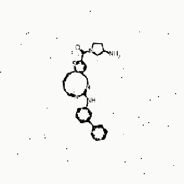 NC1CCN(C(=O)c2cc3c(s2)/C=C\C/C=N\C(Nc2cccc(-c4ccccc4)c2)=N/C3)C1